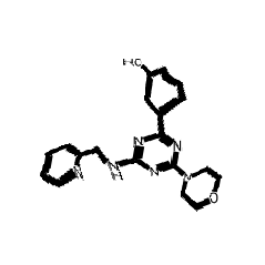 Oc1cccc(-c2nc(NCc3ccccn3)nc(N3CCOCC3)n2)c1